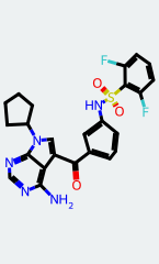 Nc1ncnc2c1c(C(=O)c1cccc(NS(=O)(=O)c3c(F)cccc3F)c1)cn2C1CCCC1